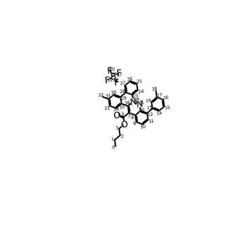 CCCCOC(=O)c1c2cccc(-c3cccc(C)c3)c2n[n+]2c3ccccc3c3cc(C)ccc3c12.F[B-](F)(F)F